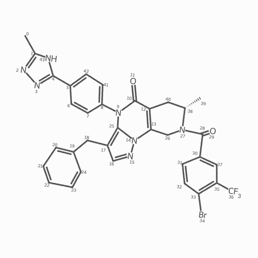 Cc1nnc(-c2ccc(-n3c(=O)c4c(n5ncc(Cc6ccccc6)c35)CN(C(=O)c3ccc(Br)c(C(F)(F)F)c3)[C@@H](C)C4)cc2)[nH]1